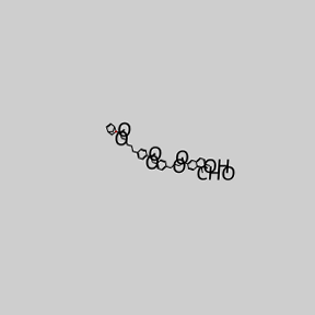 O=Cc1c(O)ccc2cc(C(=O)OCCc3ccc(OC(=O)c4ccc(CCCCOC(=O)C5CC6C=CC5C6)cc4)cc3)ccc12